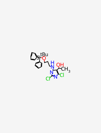 CC(O)c1c(Cl)nc(Cl)nc1NCCCO[Si](c1ccccc1)(c1ccccc1)C(C)(C)C